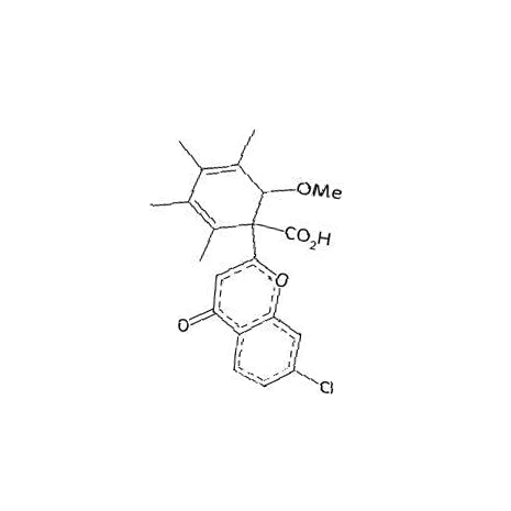 COC1C(C)=C(C)C(C)=C(C)C1(C(=O)O)c1cc(=O)c2ccc(Cl)cc2o1